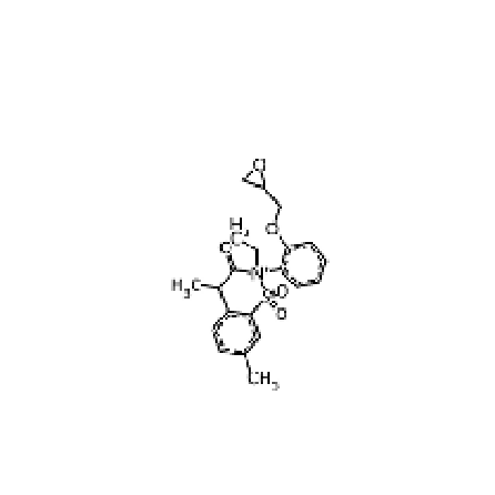 CC[N+]1(c2ccccc2OCC2CO2)C(=O)C(C)c2ccc(C)cc2S1(=O)=O